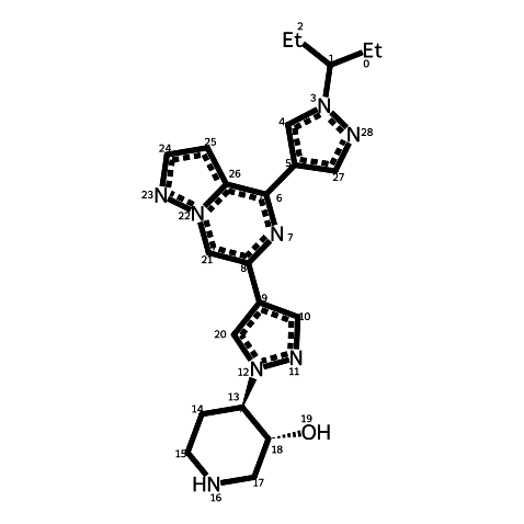 CCC(CC)n1cc(-c2nc(-c3cnn([C@@H]4CCNC[C@H]4O)c3)cn3nccc23)cn1